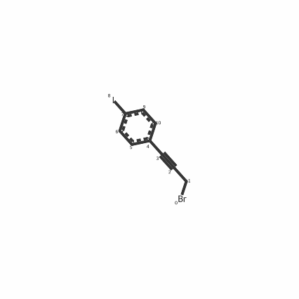 BrCC#Cc1ccc(I)cc1